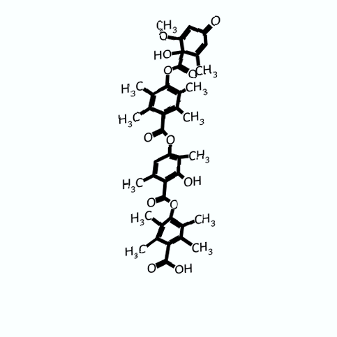 COC1=CC(=O)C=C(C)C1(O)C(=O)Oc1c(C)c(C)c(C(=O)Oc2cc(C)c(C(=O)Oc3c(C)c(C)c(C(=O)O)c(C)c3C)c(O)c2C)c(C)c1C